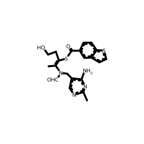 C/C(=C(\CCO)SC(=O)c1ccc2sccc2c1)N(C=O)Cc1cnc(C)nc1N